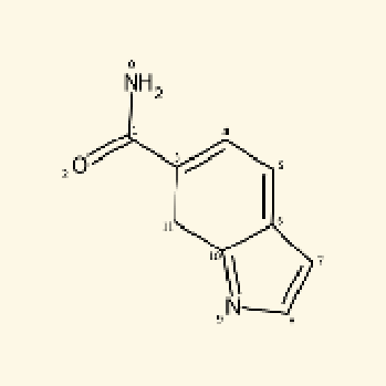 NC(=O)C1=CC=C2C=CN=C2C1